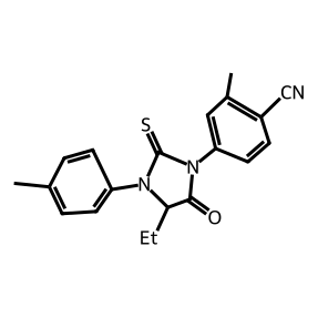 CCC1C(=O)N(c2ccc(C#N)c(C)c2)C(=S)N1c1ccc(C)cc1